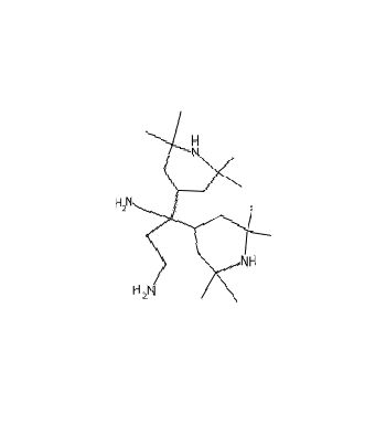 CC1(C)CC(C(N)(CCN)C2CC(C)(C)NC(C)(C)C2)CC(C)(C)N1